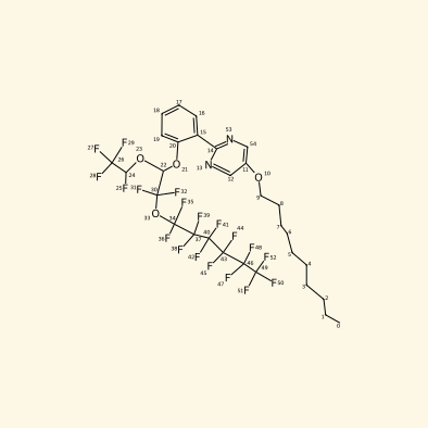 CCCCCCCCCCOc1cnc(-c2ccccc2OC(OC(F)C(F)(F)F)C(F)(F)OC(F)(F)C(F)(F)C(F)(F)C(F)(F)C(F)(F)C(F)(F)F)nc1